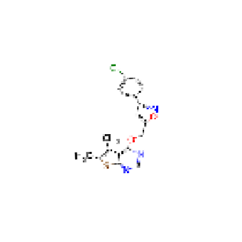 Cc1sc2ncnc(OCc3cc(-c4ccc(Cl)cc4)no3)c2c1C